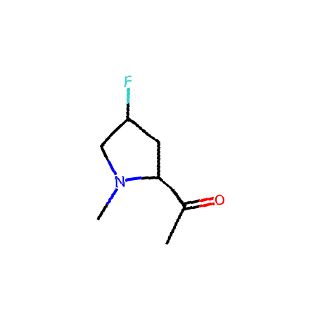 CC(=O)C1CC(F)CN1C